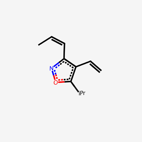 C=Cc1c(/C=C\C)noc1C(C)C